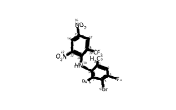 Cc1cc(F)c(Br)c(Br)c1Nc1c([N+](=O)[O-])cc([N+](=O)[O-])cc1C(F)(F)F